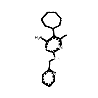 Cc1nc(NCc2ccccn2)nc(N)c1C1CCCCCC1